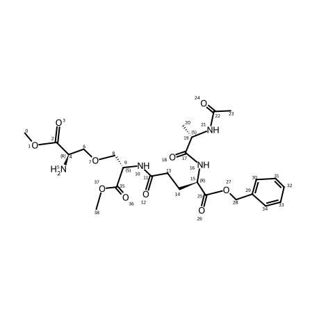 COC(=O)[C@H](N)COC[C@H](NC(=O)CC[C@@H](NC(=O)[C@H](C)NC(C)=O)C(=O)OCc1ccccc1)C(=O)OC